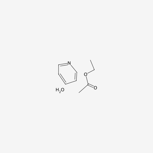 CCOC(C)=O.O.c1ccncc1